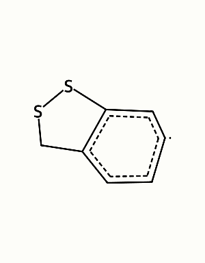 [c]1ccc2c(c1)SSC2